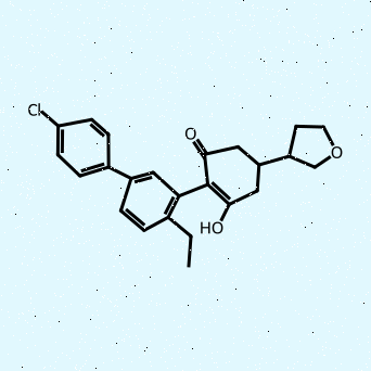 CCc1ccc(-c2ccc(Cl)cc2)cc1C1=C(O)CC(C2CCOC2)CC1=O